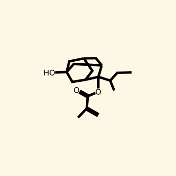 C=C(C)C(=O)OC1(C(C)CC)C2CC3CC1CC(O)(C3)C2